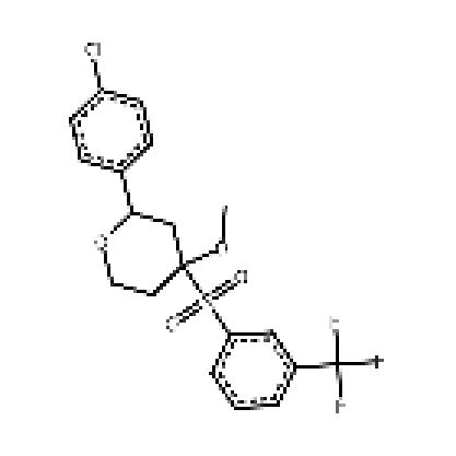 COC1(S(=O)(=O)c2cccc(C(F)(F)F)c2)CCOC(c2ccc(Cl)cc2)C1